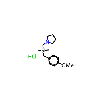 COc1ccc(C[Si](C)(C)CN2CCCC2)cc1.Cl